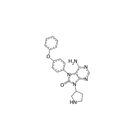 Nc1ncnc2c1n(-c1ccc(Oc3ccccc3)cc1)c(=O)n2C1CCNC1